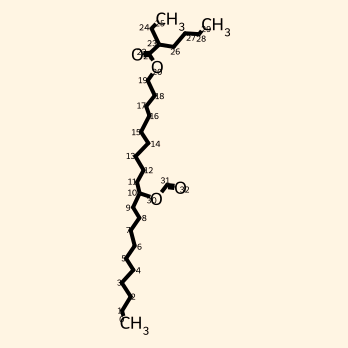 CCCCCCCCCCC(CCCCCCCCCOC(=O)C(CC)CCCC)OC=O